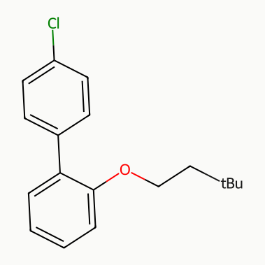 CC(C)(C)CCOc1ccccc1-c1ccc(Cl)cc1